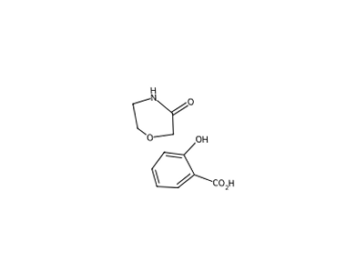 O=C(O)c1ccccc1O.O=C1COCCN1